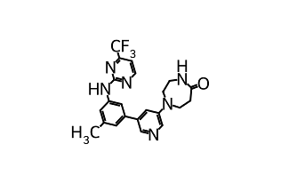 Cc1cc(Nc2nccc(C(F)(F)F)n2)cc(-c2cncc(N3CCNC(=O)CC3)c2)c1